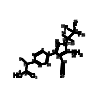 CC(C(=O)O)c1ccc(-c2nn(C(C)(C)C(F)(F)F)c(N)c2C#N)cc1